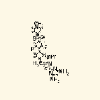 CCCN(c1nc(-c2nc(N)cc(N)n2)cs1)c1cc(-c2c(F)cc(S(=O)(=O)N3CCN(C)CC3)cc2F)ccc1C